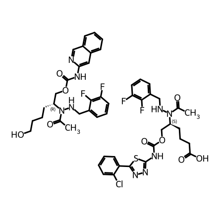 CC(=O)N(NCc1cccc(F)c1F)[C@@H](CCCC(=O)O)COC(=O)Nc1nnc(-c2ccccc2Cl)s1.CC(=O)N(NCc1cccc(F)c1F)[C@H](CCCCO)COC(=O)Nc1cc2ccccc2cn1